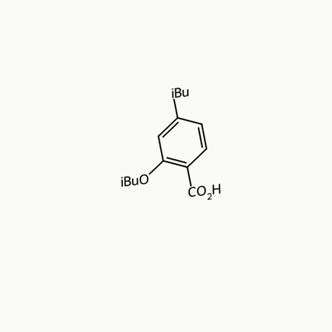 CCC(C)c1ccc(C(=O)O)c(OCC(C)C)c1